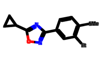 CCc1cc(-c2noc(C3CC3)n2)ccc1SC